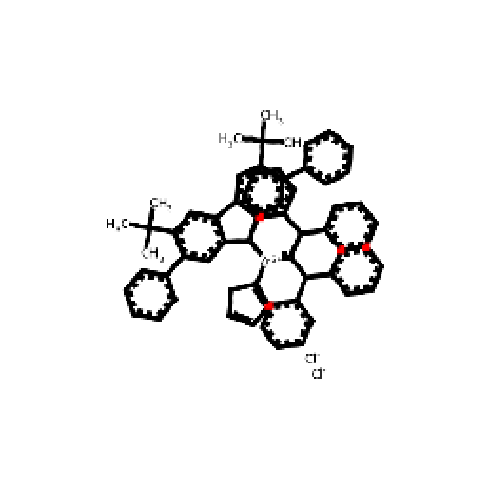 CC(C)(C)c1cc2c(cc1-c1ccccc1)[CH]([Zr+2]([C]1=CC=CC1)=[C](C(c1ccccc1)c1ccccc1)C(c1ccccc1)c1ccccc1)c1cc(-c3ccccc3)c(C(C)(C)C)cc1-2.[Cl-].[Cl-]